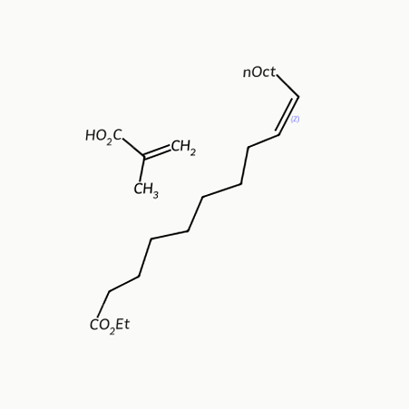 C=C(C)C(=O)O.CCCCCCCC/C=C\CCCCCCCC(=O)OCC